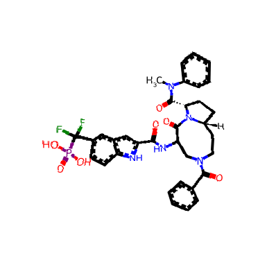 CN(C(=O)[C@@H]1CC[C@@H]2CCN(C(=O)c3ccccc3)CC(NC(=O)c3cc4cc(C(F)(F)P(=O)(O)O)ccc4[nH]3)C(=O)N21)c1ccccc1